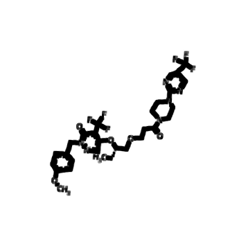 CC[C@@H](COCCC(=O)N1CCN(c2ncc(C(F)(F)F)cn2)CC1)Oc1cnn(Cc2ccc(OC)cc2)c(=O)c1C(F)(F)F